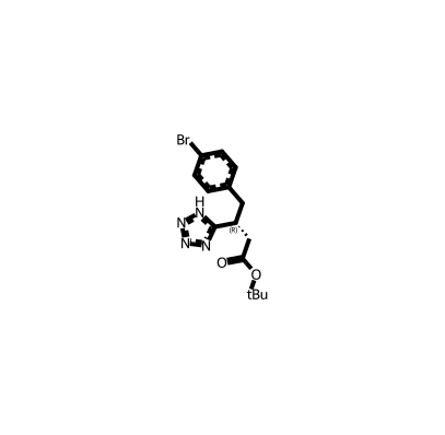 CC(C)(C)OC(=O)C[C@@H](Cc1ccc(Br)cc1)c1nnn[nH]1